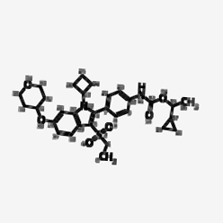 CCS(=O)(=O)c1c(-c2ccc(NC(=O)OC(C)C3CC3)cc2)n(C2CCC2)c2cc(OC3CCOCC3)ccc12